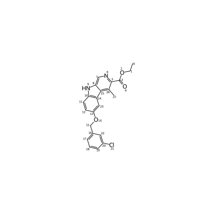 CCOC(=O)c1ncc2[nH]c3ccc(OCc4cccc(Cl)c4)cc3c2c1C